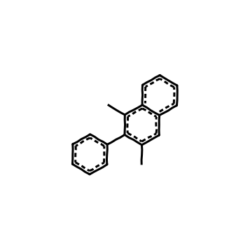 Cc1cc2ccccc2c(C)c1-c1ccccc1